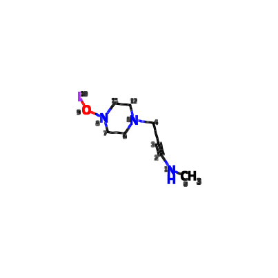 CNC#CCN1CCN(OI)CC1